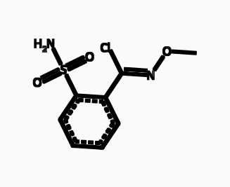 CON=C(Cl)c1ccccc1S(N)(=O)=O